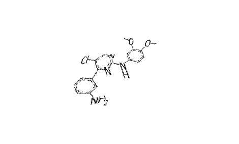 COc1ccc(Nc2ncc(Cl)c(-c3cccc(N)c3)n2)cc1OC